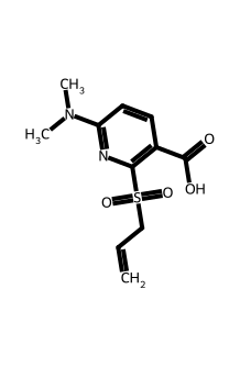 C=CCS(=O)(=O)c1nc(N(C)C)ccc1C(=O)O